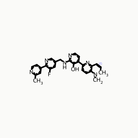 C=Nc1ccc(-c2ccnc(NCc3cnc(-c4ccnc(C)c4)c(F)c3)c2O)nc1/C=C\C